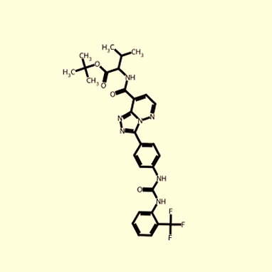 CC(C)C(NC(=O)c1ccnn2c(-c3ccc(NC(=O)Nc4ccccc4C(F)(F)F)cc3)nnc12)C(=O)OC(C)(C)C